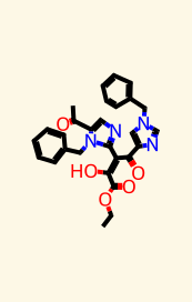 CCOC(=O)/C(O)=C(\C(=O)c1cn(Cc2ccccc2)cn1)c1ncc(C(C)=O)n1Cc1ccccc1